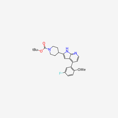 COc1ccc(F)cc1-c1ccnc2[nH]c(C3CCN(C(=O)OC(C)(C)C)CC3)cc12